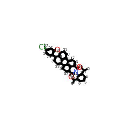 CC(C)c1cccc(C(C)C)c1-n1c(=O)c2ccc3c4ccc5oc6cc(Cl)ccc6c6ccc(c7ccc(c1=O)c2c37)c4c56